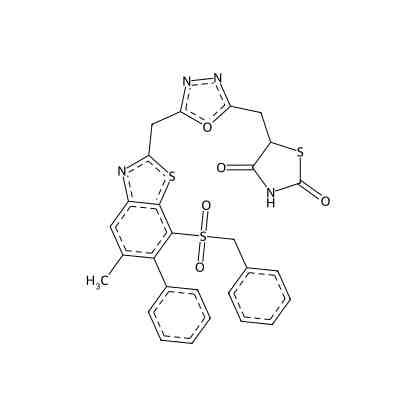 Cc1cc2nc(Cc3nnc(CC4SC(=O)NC4=O)o3)sc2c(S(=O)(=O)Cc2ccccc2)c1-c1ccccc1